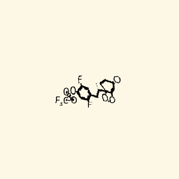 C[C@@H](Cc1cc(F)c(OS(=O)(=O)C(F)(F)F)cc1F)[C@]12CCC(=O)C=C1OCO2